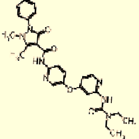 CCN(CC)C(=O)Nc1cc(Oc2ccc(NC(=O)c3c(C)n(C)n(-c4ccccc4)c3=O)nc2)ccn1